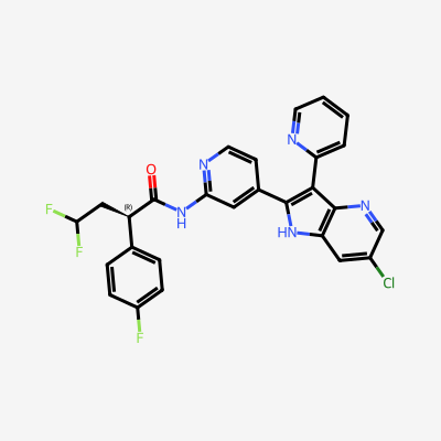 O=C(Nc1cc(-c2[nH]c3cc(Cl)cnc3c2-c2ccccn2)ccn1)[C@H](CC(F)F)c1ccc(F)cc1